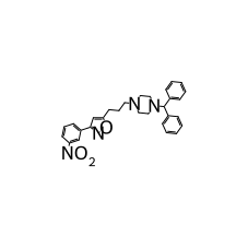 O=[N+]([O-])c1cccc(-c2cc(CCCN3CCN(C(c4ccccc4)c4ccccc4)CC3)on2)c1